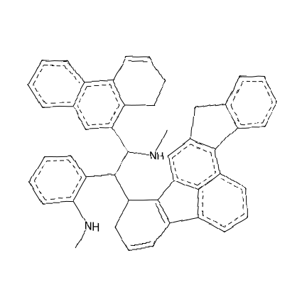 CNc1ccccc1C(C1CC=CC2=C1c1cc3c(c4cccc2c14)-c1ccccc1C3)C(NC)c1cc2ccccc2c2c1CCC=C2